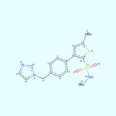 CCCCc1cc(-c2ccc(Cn3ccnc3)cc2)c(S(=O)(=O)NC(C)(C)C)s1